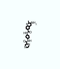 Cc1nc2ccc(C(=O)Nc3ccc(NC(=O)c4cnccn4)cc3)cc2cc1N